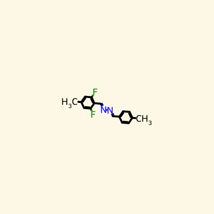 Cc1ccc(C=NN=Cc2c(F)cc(C)cc2F)cc1